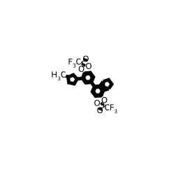 CC1CCC(c2cc(-c3ccc(OS(=O)(=O)C(F)(F)F)c4c3C3CCC4C3)ccc2OS(=O)(=O)C(F)(F)F)C1